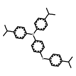 CC(C)c1ccc(Sc2ccc([S+](c3ccc(C(C)C)cc3)c3ccc(C(C)C)cc3)cc2)cc1